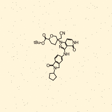 CC(C)(C)OC(=O)C1CCC(CC#N)(n2nc(Nc3ccc4c(c3)CN(C3CCCC3)C4=O)c3c(=O)[nH]ccc32)CO1